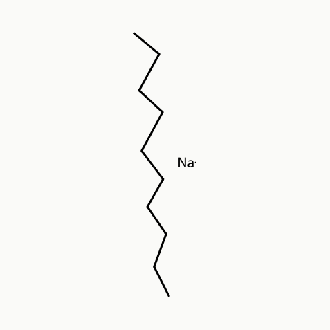 CCCCCCCCCC.[Na]